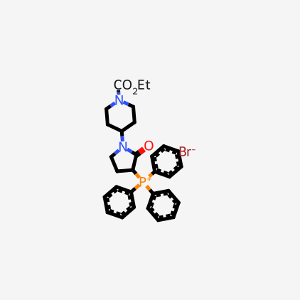 CCOC(=O)N1CCC(N2CCC([P+](c3ccccc3)(c3ccccc3)c3ccccc3)C2=O)CC1.[Br-]